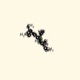 COCCN1CCN(C2CC3(CCN(c4ccc(C(=O)NS(=O)(=O)c5ccc(NC[C@H]6CC[C@](C)(O)CC6)c([N+](=O)[O-])c5)c(Oc5cnc6[nH]ccc6c5)c4)CC3)C2)[C@@H](c2ccccc2C(C)C)C1